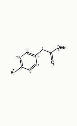 COC(=O)Cc1ccc(Br)nc1